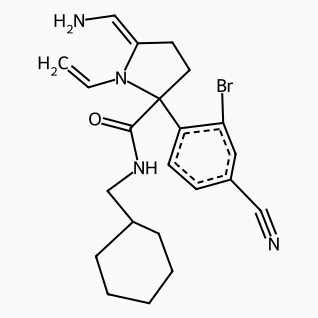 C=CN1/C(=C\N)CCC1(C(=O)NCC1CCCCC1)c1ccc(C#N)cc1Br